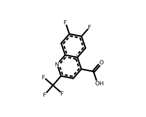 O=C(O)c1cc(C(F)(F)F)nc2cc(F)c(F)cc12